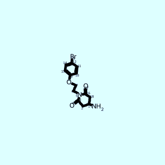 NC1CC(=O)N(CCOc2ccc(Br)cc2)C(=O)C1